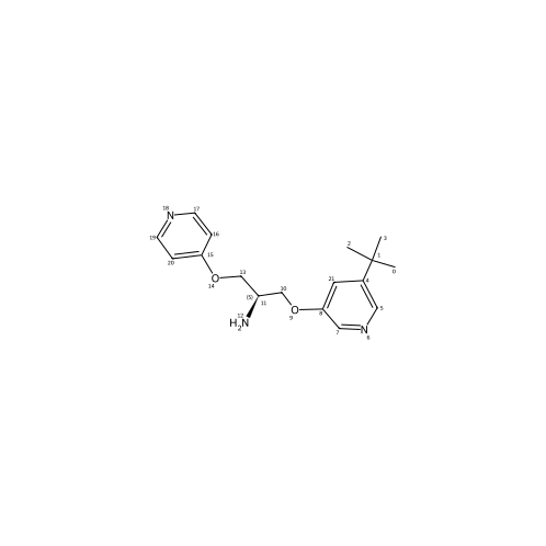 CC(C)(C)c1cncc(OC[C@@H](N)COc2ccncc2)c1